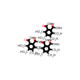 COC(=O)c1c(C(=O)O)c(C(=O)O)c(C(=O)O)c(C(=O)O)c1C(=O)OC.COC(=O)c1c(C(=O)O)c(C(=O)O)c(C(=O)O)c(C(=O)O)c1C(=O)OC.COC(=O)c1c(C(=O)O)c(C(=O)O)c(C(=O)O)c(C(=O)O)c1C(=O)OC